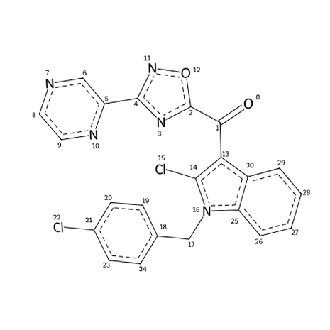 O=C(c1nc(-c2cnccn2)no1)c1c(Cl)n(Cc2ccc(Cl)cc2)c2ccccc12